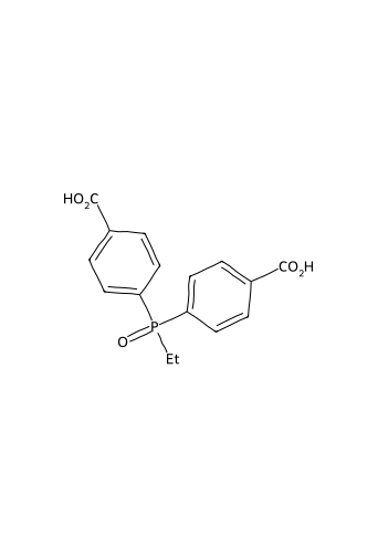 CCP(=O)(c1ccc(C(=O)O)cc1)c1ccc(C(=O)O)cc1